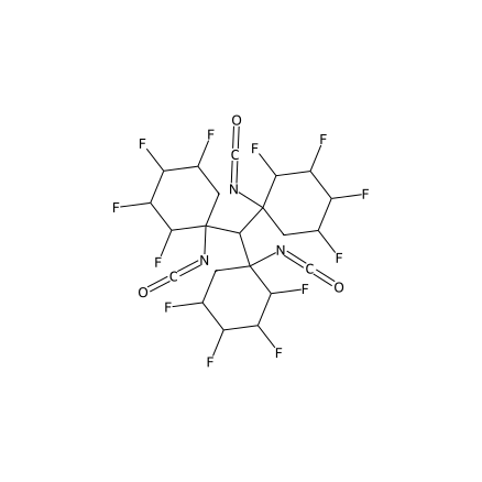 O=C=NC1(C(C2(N=C=O)CC(F)C(F)C(F)C2F)C2(N=C=O)CC(F)C(F)C(F)C2F)CC(F)C(F)C(F)C1F